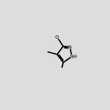 Cc1[nH]nc([O])c1C